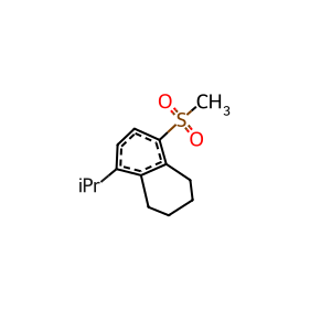 CC(C)c1ccc(S(C)(=O)=O)c2c1CCCC2